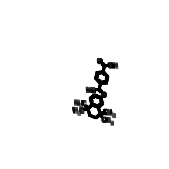 CC1(C)CCC(C)(C)c2ccccc21.O=C(O)c1ccc(C(=O)O)cc1